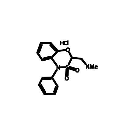 CNCC1Oc2ccccc2N(c2ccccc2)S1(=O)=O.Cl